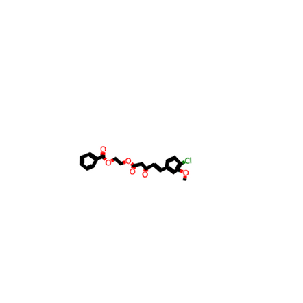 COc1cc(C=CC(=O)CC(=O)OCCOC(=O)c2ccccc2)ccc1Cl